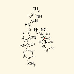 Cc1ccc(S(=O)(=O)n2ccc3c(Nc4cc(C)[nH]n4)nc(NC4CC5CCC(C4)N5CCC#N)nc32)cc1